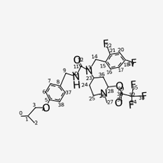 CC(C)COc1ccc(CNC(=O)N(Cc2ccc(F)cc2F)C2CCN(C)C(OC(=O)C(F)(F)F)C2)cc1